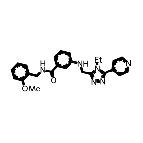 CCn1c(CNc2cccc(C(=O)NCc3ccccc3OC)c2)nnc1-c1ccncc1